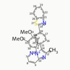 COc1ccc([N+]23N=CC=CC2=NC(C)=C3c2ccc(-c3nc4ccccc4s3)cc2)cc1OC